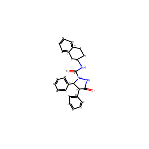 O=C1NN(C(=O)NC2CCc3ccccc3C2)C(c2ccccc2)C1c1ccccc1